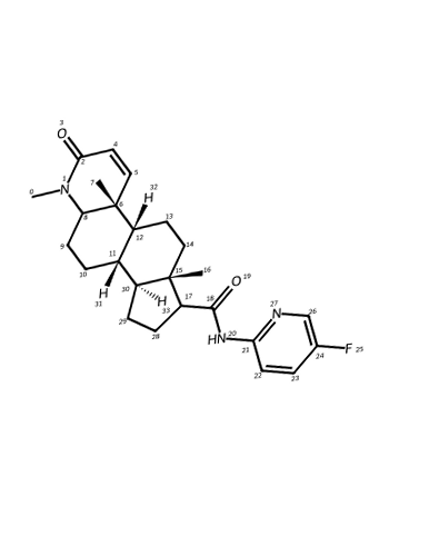 CN1C(=O)C=C[C@@]2(C)C1CC[C@@H]1[C@H]2CC[C@]2(C)C(C(=O)Nc3ccc(F)cn3)CC[C@@H]12